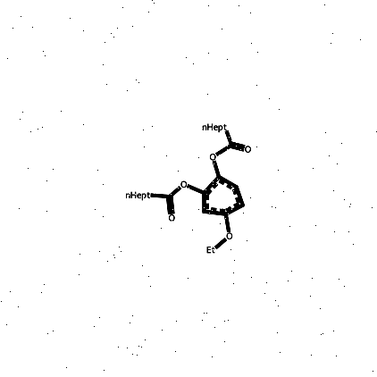 CCCCCCCC(=O)Oc1ccc(OCC)cc1OC(=O)CCCCCCC